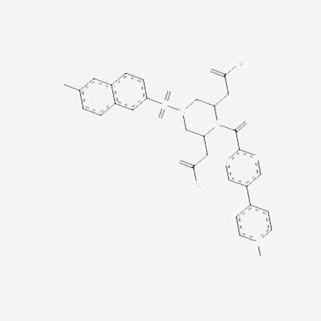 NC(=O)CC1CN(S(=O)(=O)c2ccc3cc(Cl)ccc3c2)CC(CC(N)=O)N1C(=O)c1ncc(-c2cc[n+]([O-])cc2)cn1